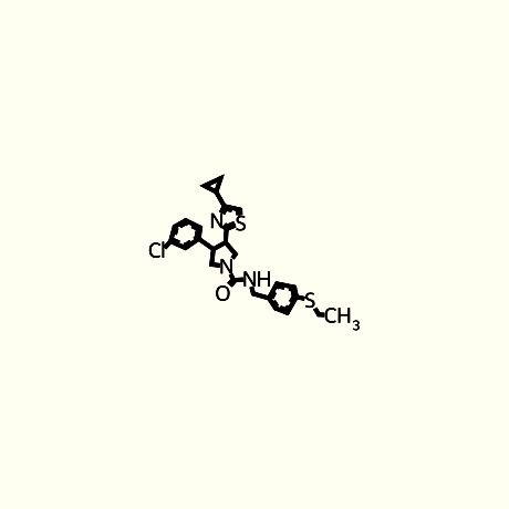 CCSc1ccc(CNC(=O)N2CC(c3cccc(Cl)c3)C(c3nc(C4CC4)cs3)C2)cc1